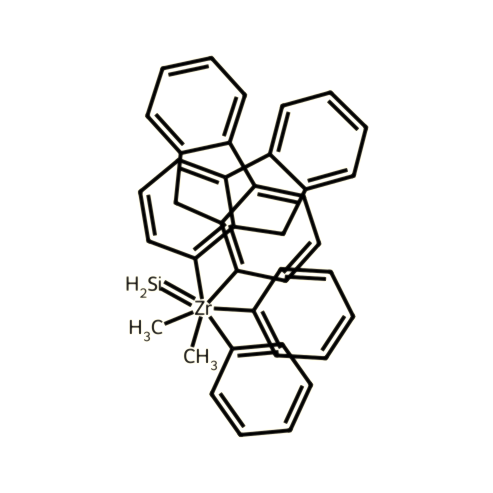 [CH3][Zr]([CH3])(=[SiH2])([c]1ccccc1)([c]1ccccc1)([c]1cccc2c1Cc1ccccc1-2)[c]1cccc2c1Cc1ccccc1-2